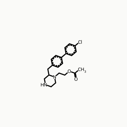 CC(=O)OCCN1CCNCC1Cc1ccc(-c2ccc(Cl)cc2)cc1